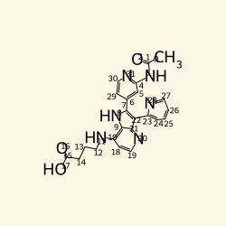 CC(=O)Nc1cc(-c2[nH]c3c(NCCCC(=O)O)ccnc3c2-c2ccccn2)ccn1